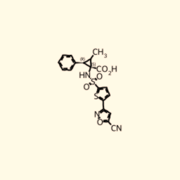 CC1[C@H](c2ccccc2)[C@]1(NS(=O)(=O)c1ccc(-c2cc(C#N)on2)s1)C(=O)O